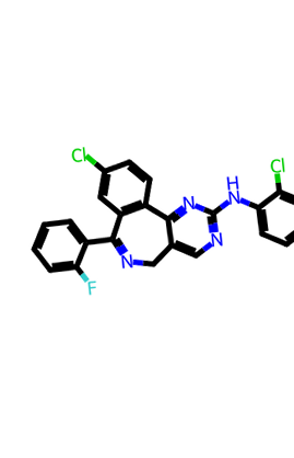 Fc1ccccc1C1=NCc2cnc(Nc3ccccc3Cl)nc2-c2ccc(Cl)cc21